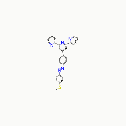 CSc1ccc(/N=N/c2ccc(-c3cc(-c4ccccn4)nc(-c4ccccn4)c3)cc2)cc1